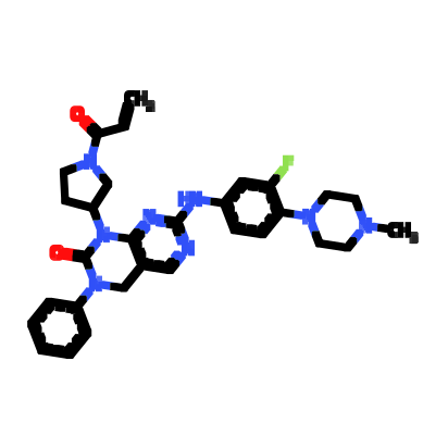 C=CC(=O)N1CCC(N2C(=O)N(c3ccccc3)Cc3cnc(Nc4ccc(N5CCN(C)CC5)c(F)c4)nc32)C1